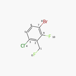 FCc1c(Cl)ccc(Br)c1F